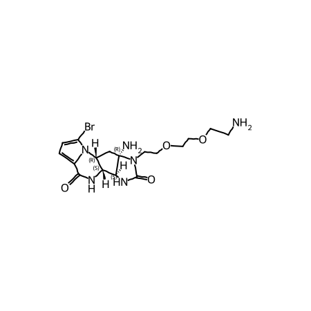 NCCOCCOCCN1C(=O)N[C@H]2[C@@H]3NC(=O)c4ccc(Br)n4[C@@H]3C[C@]21N